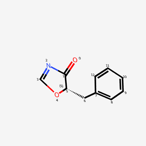 O=C1N=CO[C@H]1Cc1ccccc1